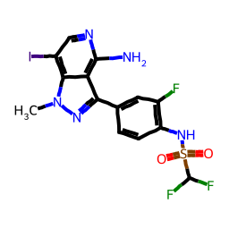 Cn1nc(-c2ccc(NS(=O)(=O)C(F)F)c(F)c2)c2c(N)ncc(I)c21